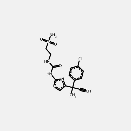 C#CC(C)(c1ccc(Cl)cc1)c1csc(NC(=O)NCCS(N)(=O)=O)n1